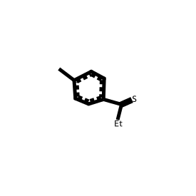 CCC(=S)c1ccc(C)cc1